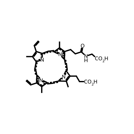 C=CC1=C(C)c2cc3[nH]c(cc4nc(cc5[nH]c(cc1n2)c(C)c5CCC(=O)NCC(=O)O)C(CCC(=O)O)=C4C)c(C)c3C=C